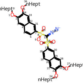 CCCCCCCOc1cc2ccc(S(=O)(=O)C(=[N+]=[N-])S(=O)(=O)c3ccc4cc(OCCCCCCC)c(OCCCCCCC)cc4c3)cc2cc1OCCCCCCC